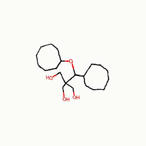 OCC(CO)(CO)C(OC1CCCCCCC1)C1CCCCCCC1